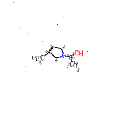 CB(O)N1CC=C(C)C1